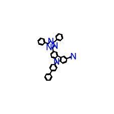 N#Cc1ccc2c(c1)c1cc(-c3nc(-c4ccccc4)nc(-c4ccccc4)n3)ccc1n2-c1ccc(-c2ccccc2)cc1